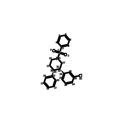 O=S(=O)(c1ccccc1)N1CC[C@@H](c2ccccc2)[C@@H](c2cccc(Cl)c2)C1